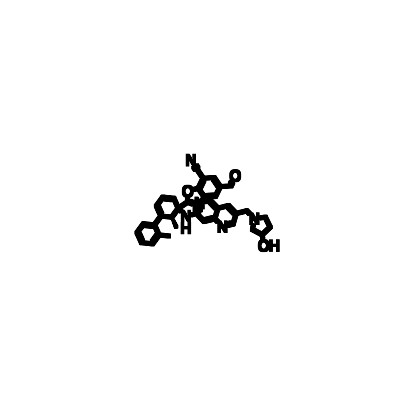 Cc1ccccc1C1=CC=CC(Nc2cc3ncc(CN4CCC(O)C4)cc3cn2)(c2nc3cc(C=O)cc(C#N)c3o2)[C@H]1C